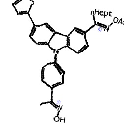 CCCCCCC/C(=N\OC(C)=O)c1ccc2c(c1)c1cc(-c3cccs3)ccc1n2-c1ccc(/C(C)=N/O)cc1